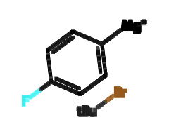 CC(C)(C)Br.Fc1cc[c]([Mg+])cc1